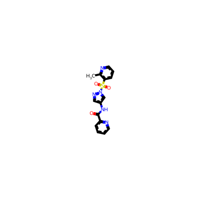 Cc1ncccc1S(=O)(=O)n1cc(NC(=O)c2ccccn2)cn1